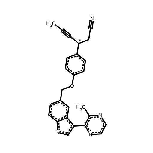 CC#C[C@@H](CC#N)c1ccc(OCc2ccc3scc(-c4nccnc4C)c3c2)cc1